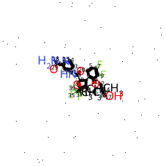 C[C@H]1[C@@H](c2ccc(F)c(F)c2OCC(C)(C)CO)[C@H](C(=O)Nc2ccnc(C(N)=O)c2)O[C@@]1(C)C(F)(F)F